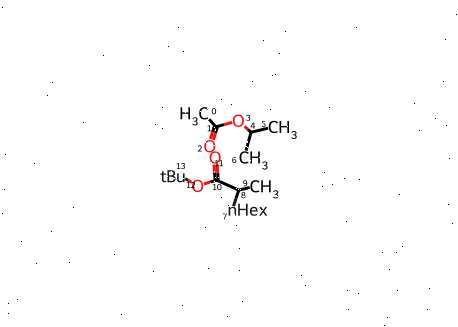 CC(=O)OC(C)C.CCCCCCC(C)C(=O)OC(C)(C)C